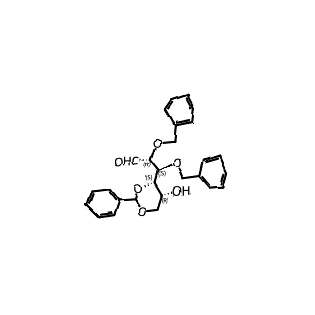 O=C[C@H](OCc1ccccc1)[C@@H](OCc1ccccc1)[C@H]1OC(c2ccccc2)OC[C@H]1O